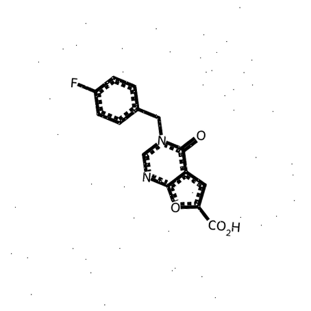 O=C(O)c1cc2c(=O)n(Cc3ccc(F)cc3)cnc2o1